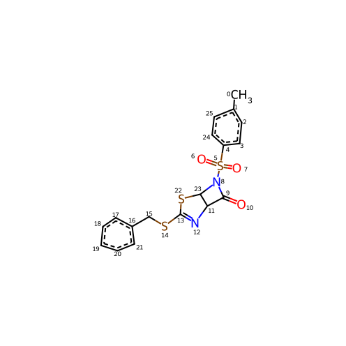 Cc1ccc(S(=O)(=O)N2C(=O)C3N=C(SCc4ccccc4)SC32)cc1